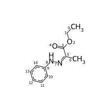 CCOC(=O)C(C)=NNc1ccccc1